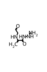 C=C(NCC=O)C(=O)NNN